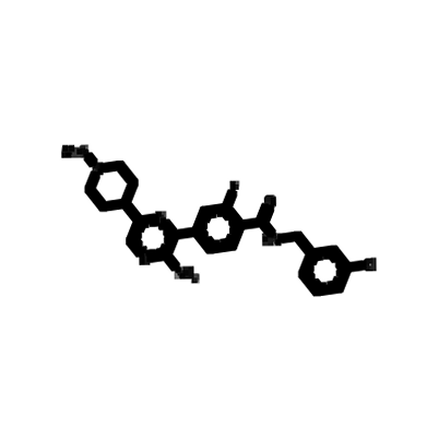 CSN1CCC(c2cnc(N)c(-c3ccc(C(=O)NCc4cccc(Cl)c4)c(F)c3)n2)CC1